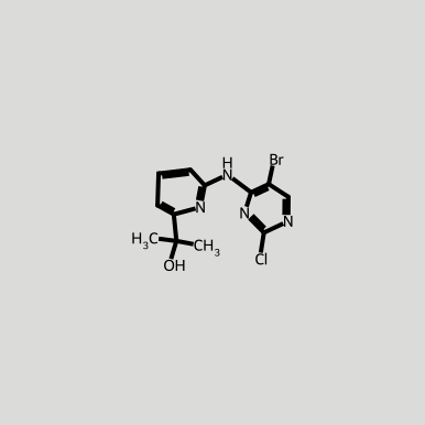 CC(C)(O)c1cccc(Nc2nc(Cl)ncc2Br)n1